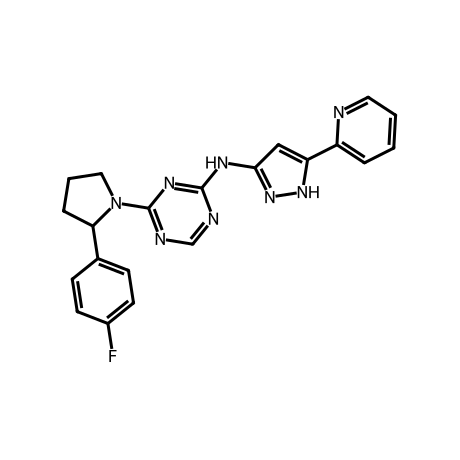 Fc1ccc(C2CCCN2c2ncnc(Nc3cc(-c4ccccn4)[nH]n3)n2)cc1